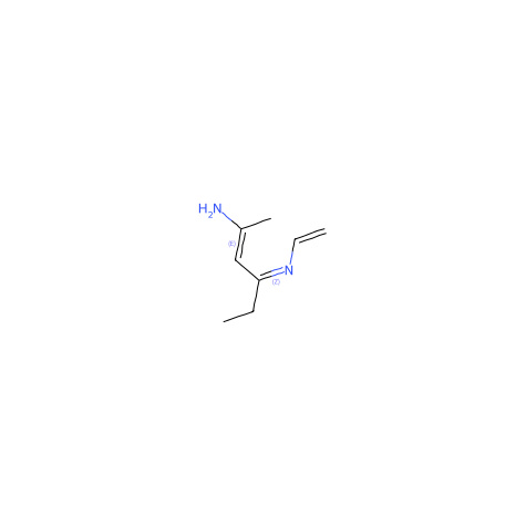 C=C/N=C(\C=C(/C)N)CC